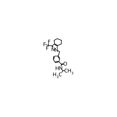 CC(C)NC(=O)c1cccc(Cn2nc(C(F)(F)F)c3c2CCCC3)c1